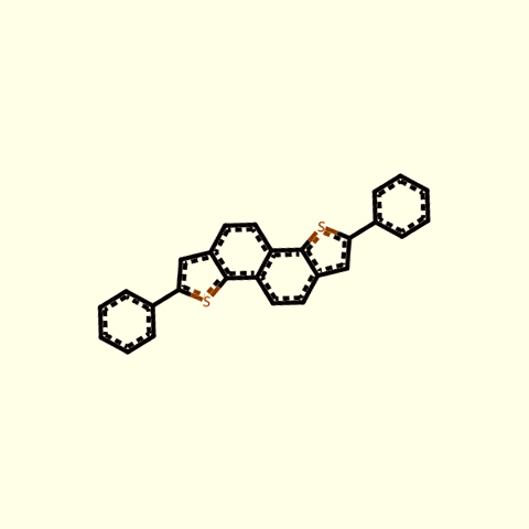 c1ccc(-c2cc3ccc4c(ccc5cc(-c6ccccc6)sc54)c3s2)cc1